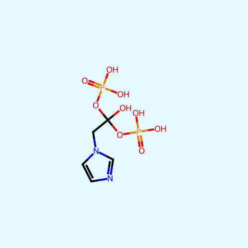 O=P(O)(O)OC(O)(Cn1ccnc1)OP(=O)(O)O